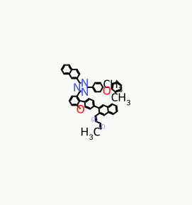 C/C=C\C=C/c1cc2ccccc2cc1-c1ccc2c(c1)oc1cccc(-c3nc(C4=CCC(C)(Oc5ccccc5C)C=C4)nc(-c4ccc5ccccc5c4)n3)c12